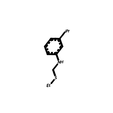 CCSCNc1cccc(C(C)C)c1